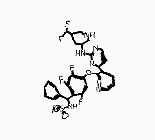 O=[SH](=O)NC(c1ccccc1)c1c(F)cc(Oc2ncccc2-c2ccnc(NC3CNCC(C(F)F)C3)n2)c(F)c1F